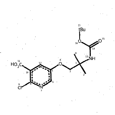 CC(C)(COc1cnc(Cl)c(C(=O)O)c1)NC(=O)OC(C)(C)C